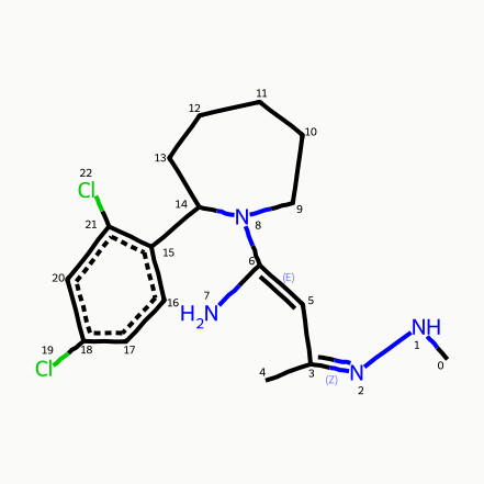 CN/N=C(C)\C=C(/N)N1CCCCCC1c1ccc(Cl)cc1Cl